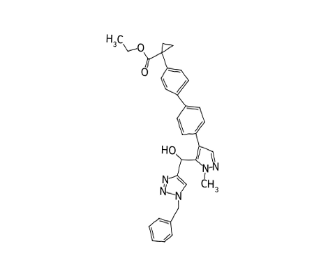 CCOC(=O)C1(c2ccc(-c3ccc(-c4cnn(C)c4C(O)c4cn(Cc5ccccc5)nn4)cc3)cc2)CC1